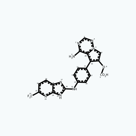 Nc1ncnn2cc(OC(=O)O)c(-c3ccc(Nc4nc5ccc(C(F)(F)F)nc5[nH]4)cc3)c12